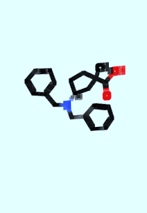 CC1(C(=O)O)CC[C@@H](N(Cc2ccccc2)Cc2ccccc2)C1